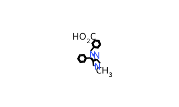 CN1Cc2nn(Cc3cccc(C(=O)O)c3)c(-c3ccccc3)c2C1